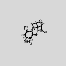 C[C@H]1CC23C(CN2c2c(F)cc(N)cc2F)OC13